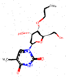 COCCO[C@H]1[C@@H](O)[C@H](n2cc(C)c(=O)[nH]c2=O)O[C@@H]1CO